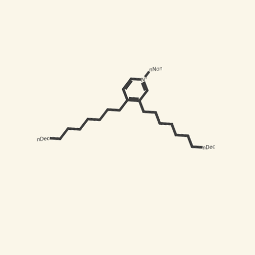 CCCCCCCCCCCCCCCCCc1cc[n+](CCCCCCCCC)cc1CCCCCCCCCCCCCCCCC